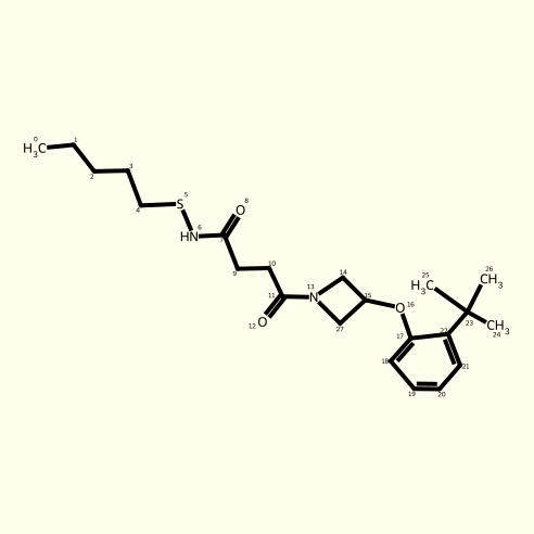 CCCCCSNC(=O)CCC(=O)N1CC(Oc2ccccc2C(C)(C)C)C1